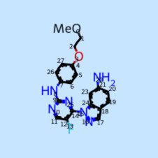 COCCOc1ccc(Nc2ncc(F)c(-n3ncc4ccc(N)cc43)n2)cc1